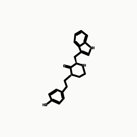 O=C1[C@@H](Cc2c[nH]c3ccccc23)NCCN1CCc1ccc(O)cc1